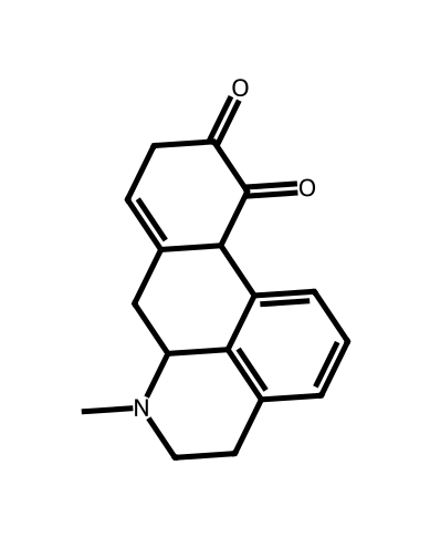 CN1CCc2cccc3c2C1CC1=CCC(=O)C(=O)C13